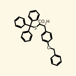 O=C(O)C(Cc1ccc(OCc2ccccc2)cc1)SC(c1ccccc1)(c1ccccc1)c1ccccc1